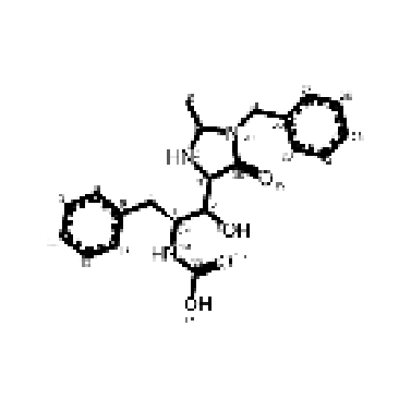 CC1NC(C(O)[C@H](Cc2ccccc2)NC(=O)O)C(=O)N1Cc1ccccc1